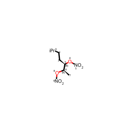 CC(C)CC[C@@H](O[N+](=O)[O-])[C@@H](C)O[N+](=O)[O-]